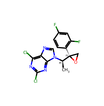 C[C@@H](n1cnc2c(Cl)nc(Cl)nc21)[C@@]1(c2ccc(F)cc2F)CO1